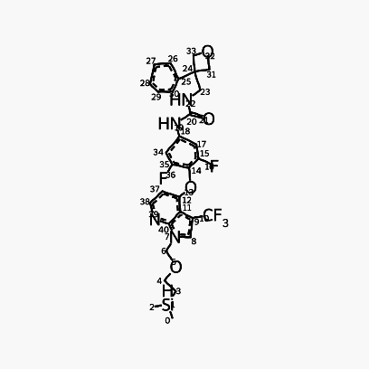 C[SiH](C)CCOCn1cc(C(F)(F)F)c2c(Oc3c(F)cc(NC(=O)NCC4(c5ccccc5)COC4)cc3F)ccnc21